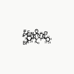 CCCn1c(C(=O)N2CCN(C3CCCC3)C(=O)C2)nc2c(C(F)(F)F)cc(Br)cc21